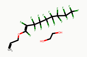 C=CCOC(F)=C(F)C(F)(F)C(F)(F)C(F)(F)C(F)(F)C(F)(F)C(F)(F)C(F)(F)F.OCCO